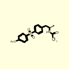 CC(=O)Oc1ccc(S(=O)(=O)c2ccc(C[C@@H](C)NC(=O)C(F)(F)F)cc2)cc1